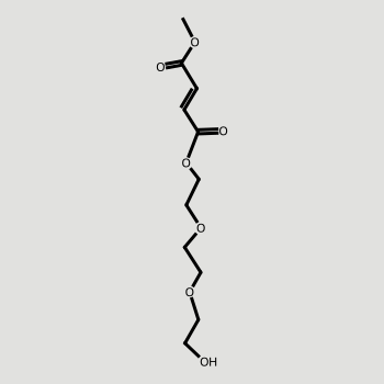 COC(=O)/C=C/C(=O)OCCOCCOCCO